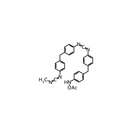 CN=C=Nc1ccc(Cc2ccc(N=C=Nc3ccc(Cc4ccc(NOC(C)=O)cc4)cc3)cc2)cc1